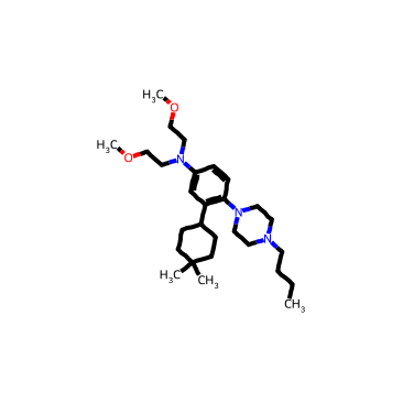 CCCCN1CCN(c2ccc(N(CCOC)CCOC)cc2C2CCC(C)(C)CC2)CC1